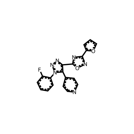 Fc1ccccc1-n1nnc(-c2nc(-c3ccco3)no2)c1-c1ccncc1